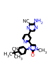 Cn1cc(-c2cc(-c3cnc(N)c(C#N)n3)ccn2)n(-c2ccc(C(C)(C)C#N)cc2)c1=O